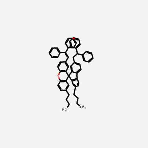 CCCCc1ccc2c(c1)C1(c3cc(C=C(c4ccccc4)c4ccccc4)ccc3O2)c2cc(CCCC)ccc2-c2ccc(CC(c3ccccc3)c3ccccc3)cc21